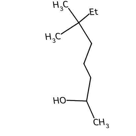 CCC(C)(C)CCCC(C)O